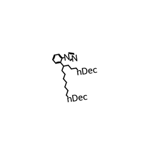 CCCCCCCCCCCCCCCCCC(CCCCCCCCCCCCC)c1ccccc1-n1ccnc1